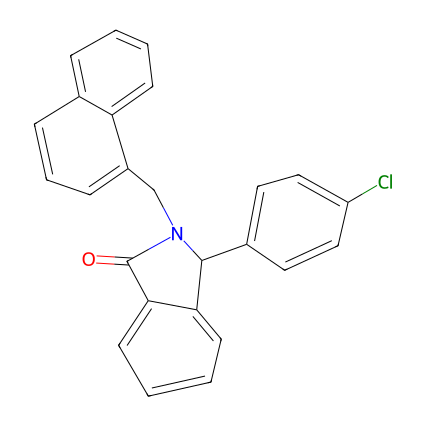 O=C1c2ccccc2C(c2ccc(Cl)cc2)N1Cc1cccc2ccccc12